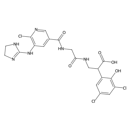 O=C(CNC(=O)c1cnc(Cl)c(NC2=NCCN2)c1)NCC(C(=O)O)c1cc(Cl)cc(Cl)c1O